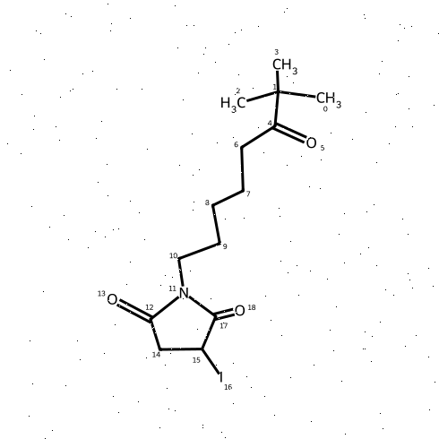 CC(C)(C)C(=O)CCCCCN1C(=O)CC(I)C1=O